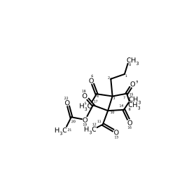 CCCC(C(C)=O)(C(C)=O)C(C(C)=O)(C(C)=O)C(=O)OC(C)=O